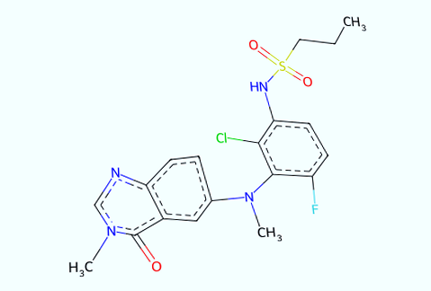 CCCS(=O)(=O)Nc1ccc(F)c(N(C)c2ccc3ncn(C)c(=O)c3c2)c1Cl